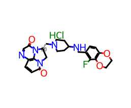 Cl.O=c1ccc2ncc(=O)n3c2n1C[C@H]3CN1CCC(NCc2ccc3c(c2F)OCCO3)CC1